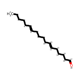 CCCCCC=CCCCCC=CCCCCC=O